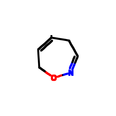 [C]1=CCON=CC1